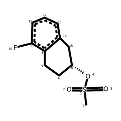 CS(=O)(=O)O[C@@H]1CCc2c(F)cccc2C1